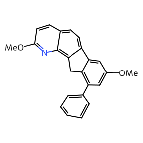 COc1cc(-c2ccccc2)c2c(c1)-c1ccc3ccc(OC)nc3c1C2